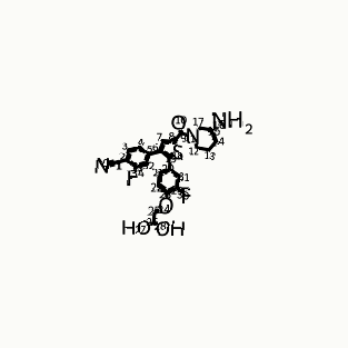 N#Cc1ccc(-c2cc(C(=O)N3CCC[C@@H](N)C3)sc2-c2ccc(OCC(O)O)c(F)c2)cc1F